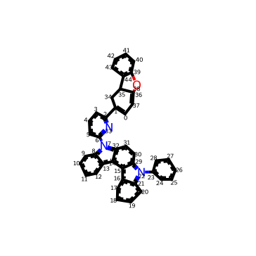 C1=C(c2cccc(-n3c4ccccc4c4c5c6ccccc6n(-c6ccccc6)c5ccc43)n2)CC2C(=C1)Oc1ccccc12